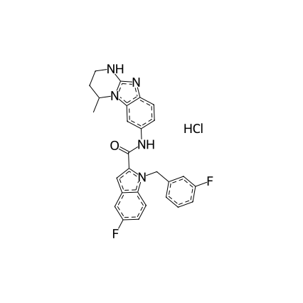 CC1CCNc2nc3ccc(NC(=O)c4cc5cc(F)ccc5n4Cc4cccc(F)c4)cc3n21.Cl